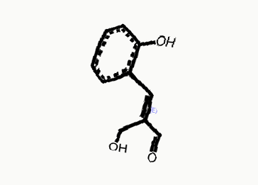 O=C/C(=C/c1ccccc1O)CO